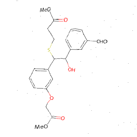 COC(=O)CCSC(c1cccc(OCC(=O)OC)c1)C(O)c1cccc(C=O)c1